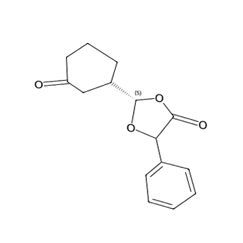 O=C1CCCC([C@@H]2OC(=O)C(c3ccccc3)O2)C1